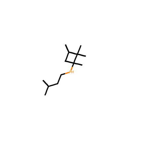 CC(C)CCPC1(C)CC(C)C1(C)C